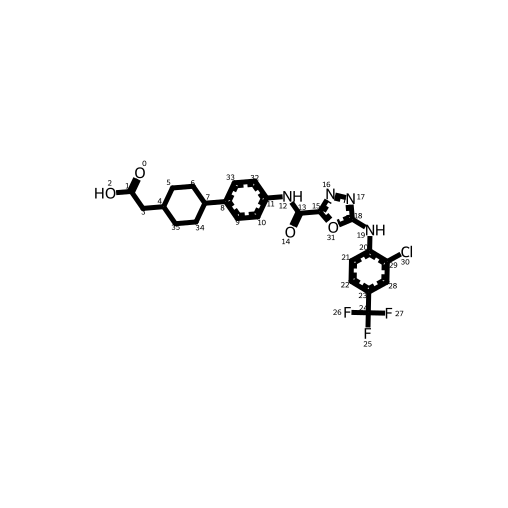 O=C(O)CC1CCC(c2ccc(NC(=O)c3nnc(Nc4ccc(C(F)(F)F)cc4Cl)o3)cc2)CC1